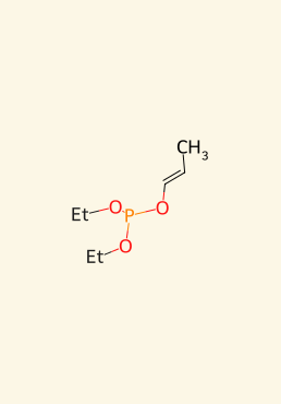 C/C=C/OP(OCC)OCC